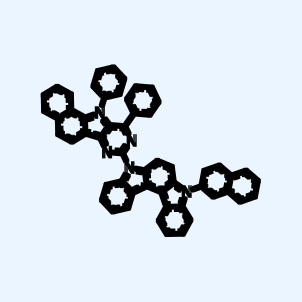 c1ccc(-c2nc(-n3c4ccccc4c4c5c6ccccc6n(-c6ccc7ccccc7c6)c5ccc43)nc3c4ccc5ccccc5c4n(-c4ccccc4)c23)cc1